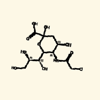 O=C(CCl)N[C@H]1C([C@H](O)[C@H](O)CO)OC(O)(C(=O)O)C[C@H]1O